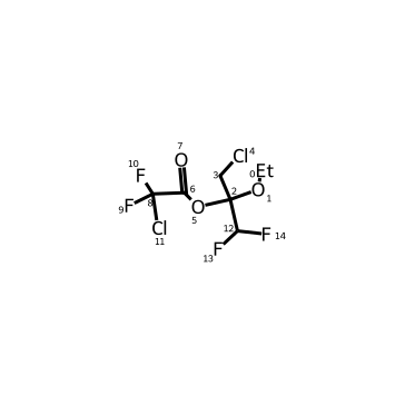 CCOC(CCl)(OC(=O)C(F)(F)Cl)C(F)F